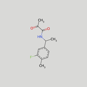 CC(=O)C(=O)NC(C)c1ccc(C)c(F)c1